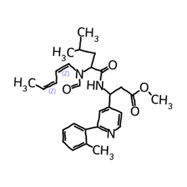 C/C=C\C=C/N(C=O)C(CC(C)C)C(=O)NC(CC(=O)OC)c1ccnc(-c2ccccc2C)c1